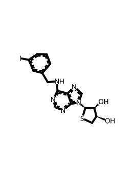 O[C@@H]1[C@H](n2cnc3c(NCc4cccc(I)c4)ncnc32)SC[C@@H]1O